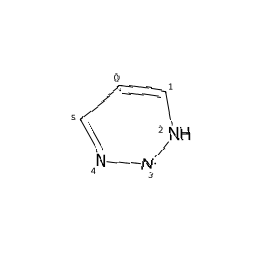 [C]1=CN[N]N=C1